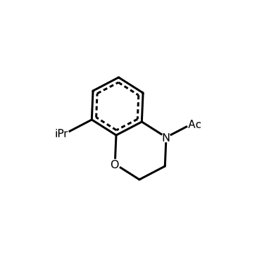 CC(=O)N1CCOc2c(C(C)C)cccc21